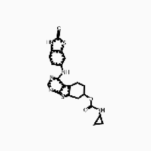 O=C(NC1CC1)OC1CCc2c(sc3ncnc(Nc4ccc5[nH]c(=O)sc5c4)c23)C1